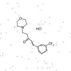 Cl.O=C(C=Cc1cccc(C(F)(F)F)c1)CCN1CCOCC1